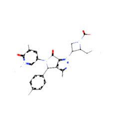 CCC1C(n2nc(C)c3c2C(=O)N(c2cc(C)c(=O)n(C)c2)C3c2ccc(Cl)cc2)CN1C(=O)O